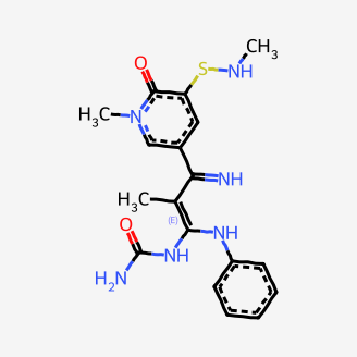 CNSc1cc(C(=N)/C(C)=C(/NC(N)=O)Nc2ccccc2)cn(C)c1=O